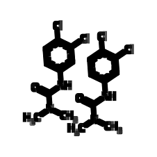 CN(C)C(=O)Nc1ccc(Cl)c(Cl)c1.CN(C)C(=O)Nc1ccc(Cl)c(Cl)c1